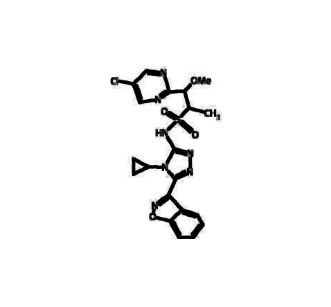 COC(c1ncc(Cl)cn1)C(C)S(=O)(=O)Nc1nnc(-c2noc3ccccc23)n1C1CC1